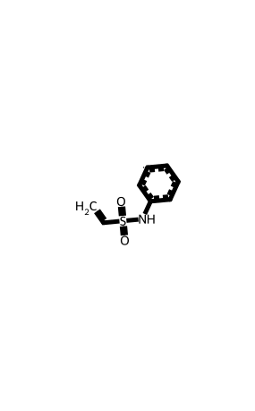 C=CS(=O)(=O)Nc1c[c]ccc1